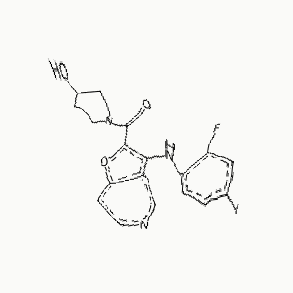 O=C(c1oc2ccncc2c1Nc1ccc(I)cc1F)N1CCC(O)C1